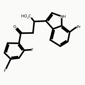 CC(C)c1cccc2c(C(CC(=O)c3ccc(F)cc3F)C(=O)O)c[nH]c12